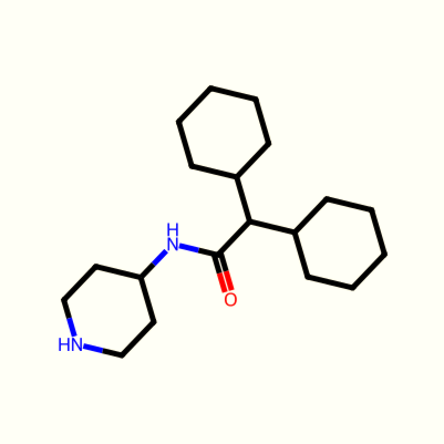 O=C(NC1CCNCC1)C(C1CCCCC1)C1CCCCC1